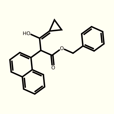 O=C(OCc1ccccc1)C(C(O)=C1CC1)c1cccc2ccccc12